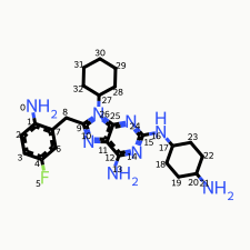 Nc1ccc(F)cc1Cc1nc2c(N)nc(NC3CCC(N)CC3)nc2n1C1CCCCC1